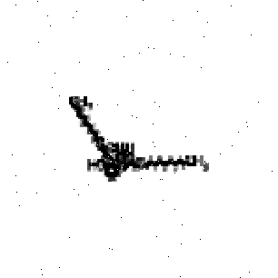 CCCCCCCCCCOCC(O)CNc1cccc(O)c1NCC(O)COCCCCCCCCCC